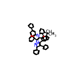 CC1(C)c2ccccc2-c2c(N(c3cccc(-c4ccccc4)c3)c3c(-c4ccccc4)n4nc(-c5ccccc5)c(-c5ccccc5)c4c4ccccc34)cccc21